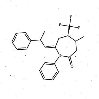 CC(/C=C1\C[C@@H](C(F)(F)F)C(C)CC(=O)N1c1ccccc1)c1ccccc1